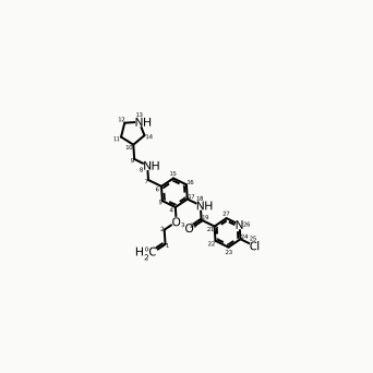 C=CCOc1cc(CNCC2CCNC2)ccc1NC(=O)c1ccc(Cl)nc1